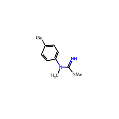 CNC(=N)N(C)c1ccc(C(C)(C)C)cc1